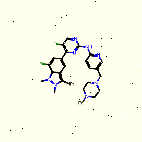 CC(C)C1=C2C=C(c3nc(Nc4ccc(CN5CCN(C(C)C)CC5)cn4)ncc3F)C=C(F)C2N(C)N1C